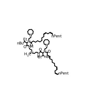 CCCCC/C=C\C/C=C\CCCCCCCC(=O)N(CCN1CCCCCC1)C(C(=O)NCCN(C)CCNC(=O)C(C(CC)CCCC)N(CCN1CCCCCC1)C(=O)CCCCCCC/C=C\C/C=C\CCCCC)C(CC)CCCC